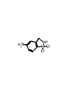 CC[N+]1([O-])NCc2cc(N)ccc21